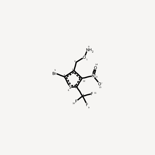 NOCc1c(Br)sc(C(F)(F)F)c1[N+](=O)[O-]